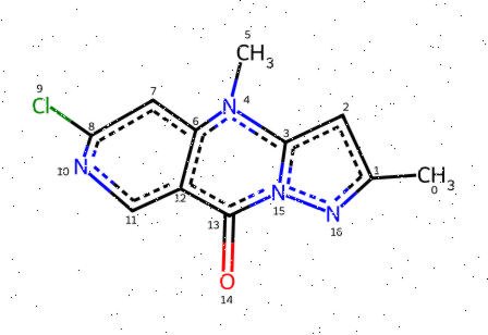 Cc1cc2n(C)c3cc(Cl)ncc3c(=O)n2n1